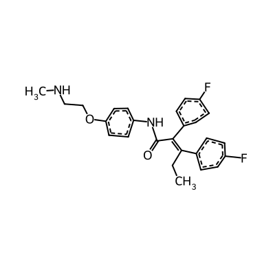 CC/C(=C(\C(=O)Nc1ccc(OCCNC)cc1)c1ccc(F)cc1)c1ccc(F)cc1